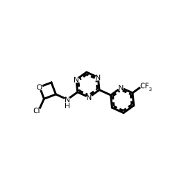 FC(F)(F)c1cccc(-c2ncnc(NC3COC3Cl)n2)n1